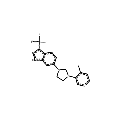 Cc1ccncc1N1CCN(c2ccc3c(C(F)(F)F)n[nH]c3c2)C1